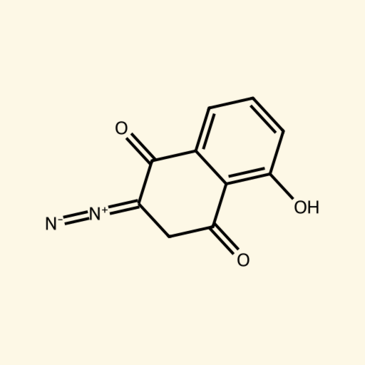 [N-]=[N+]=C1CC(=O)c2c(O)cccc2C1=O